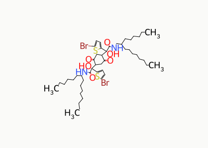 CCCCCCCCC(CCCCCC)CNC(=O)C(O)(c1ccc(Br)s1)C1CC(=O)C(C(O)(C(=O)NC(CCCCCC)CCCCCCCC)c2ccc(Br)s2)CC1=O